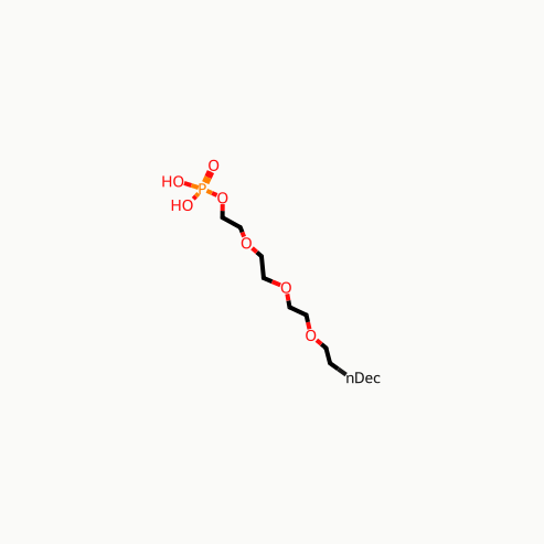 CCCCCCCCCCCCOCCOCCOCCOP(=O)(O)O